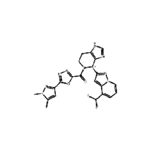 Cc1cc(-c2nnc(C(=O)N3CCc4[nH]cnc4[C@H]3c3cc4c(C(F)F)cccn4n3)o2)nn1C